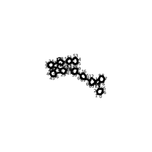 c1ccc(-n2c3ccccc3c3cc(-c4ccc(-c5ccc(N(c6ccc7c(c6)C6(c8ccccc8-c8ccccc86)c6ccccc6-7)c6cccc7ccccc67)cc5)cc4)ccc32)cc1